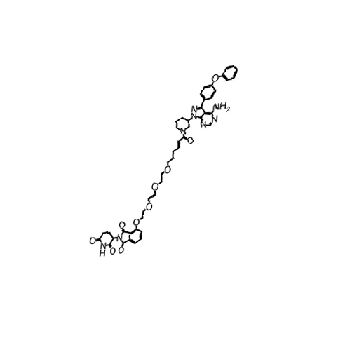 Nc1ncnc2c1c(-c1ccc(Oc3ccccc3)cc1)nn2C1CCCN(C(=O)/C=C/CCCOCCOCCOCCOc2cccc3c2C(=O)N(C2CCC(=O)NC2=O)C3=O)C1